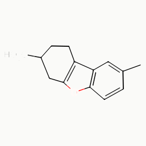 Cc1ccc2oc3c(c2c1)CCC(C(=O)O)C3